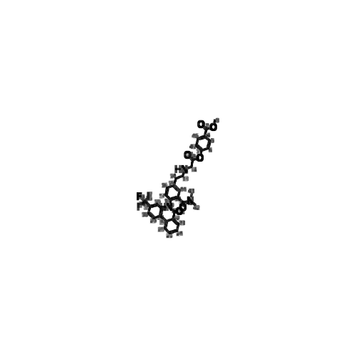 COC(=O)c1ccc(OC(=O)CNCCc2ccc(NC(=O)c3ccccc3-c3ccc(C(F)(F)F)cc3)c(C(=O)N(C)C)c2)cc1